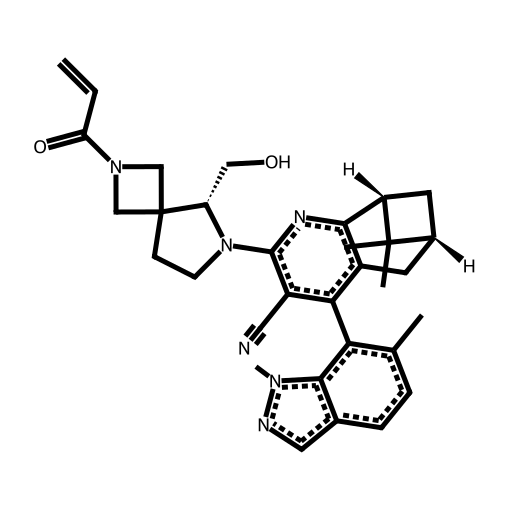 C=CC(=O)N1CC2(CCN(c3nc4c(c(-c5c(C)ccc6cnn(C)c56)c3C#N)C[C@H]3C[C@@H]4C3(C)C)[C@H]2CO)C1